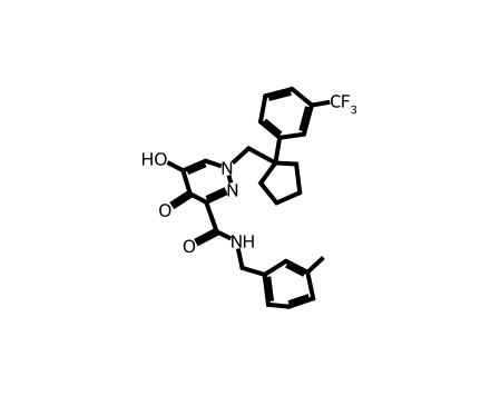 Cc1cccc(CNC(=O)c2nn(CC3(c4cccc(C(F)(F)F)c4)CCCC3)cc(O)c2=O)c1